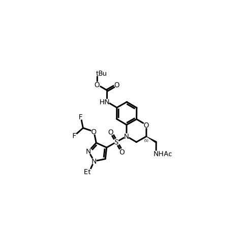 CCn1cc(S(=O)(=O)N2C[C@H](CNC(C)=O)Oc3ccc(NC(=O)OC(C)(C)C)cc32)c(OC(F)F)n1